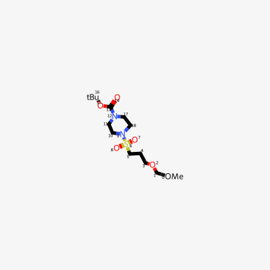 COCOCCCS(=O)(=O)N1CCN(C(=O)OC(C)(C)C)CC1